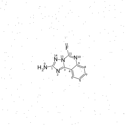 Nc1nc2c3ccccc3nc(F)n2n1